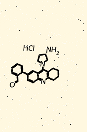 Cl.N[C@H]1CCN(c2c3c(nc4ccc(-c5ccccc5C=O)cc24)CCCC3)C1